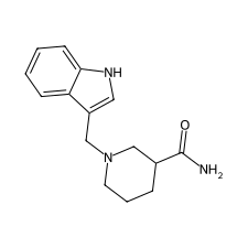 NC(=O)C1CCCN(Cc2c[nH]c3ccccc23)C1